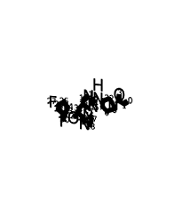 C=CC(=O)N1CCCC(Nc2ncc3c(n2)N2CCN=C2C(Oc2ccc(F)cc2F)=C3)C1